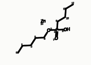 CCCCCOP(=O)(O)CCCC.[Zn]